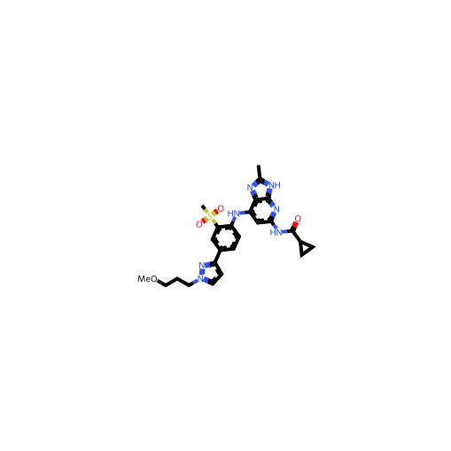 COCCCn1ccc(-c2ccc(Nc3cc(NC(=O)C4CC4)nc4[nH]c(C)nc34)c(S(C)(=O)=O)c2)n1